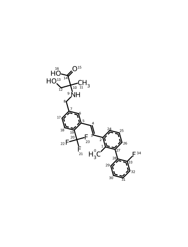 Cc1c(/C=C/c2cc(CNC(C)(CO)C(=O)O)ccc2C(F)(F)F)cccc1-c1ccccc1F